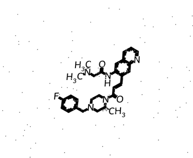 C[C@@H]1CN(Cc2ccc(F)cc2)CCN1C(=O)C=Cc1cc2ncccc2cc1NC(=O)CN(C)C